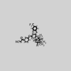 CC1(C)[C@@H]2C[C@H]3OB([C@H](Cc4ccc(C(F)(F)F)cc4)NC(=O)O[C@H]4CCCN(C(=O)CC#N)C4)O[C@@]3(C)[C@H]1C2